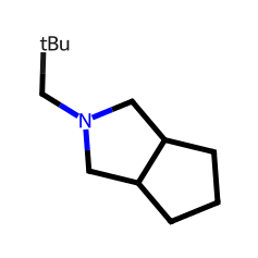 CC(C)(C)CN1CC2CCCC2C1